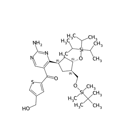 CC(C)[Si](O[C@H]1C[C@H](c2nc(N)ncc2C(=O)c2cc(CO)cs2)C[C@@H]1CO[Si](C)(C)C(C)(C)C)(C(C)C)C(C)C